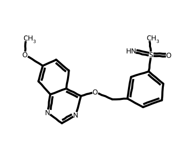 COc1ccc2c(OCc3cccc(S(C)(=N)=O)c3)ncnc2c1